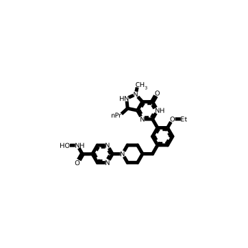 CCCC1NN(C)c2c1nc(-c1cc(CC3CCN(c4ncc(C(=O)NO)cn4)CC3)ccc1OCC)[nH]c2=O